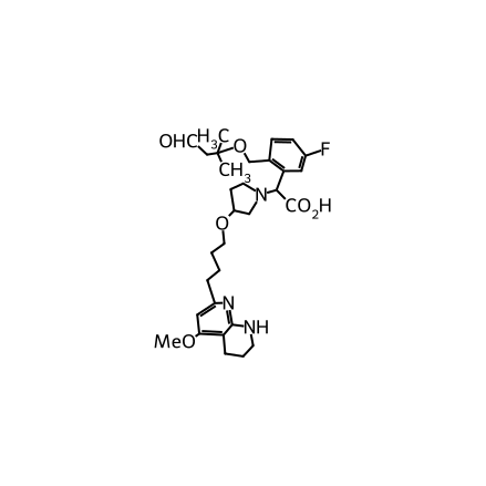 COc1cc(CCCCOC2CCN(C(C(=O)O)c3cc(F)ccc3COC(C)(C)CC=O)C2)nc2c1CCCN2